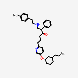 CC(=O)CCC1CCC[C@@H](Oc2ccc(CCCC(=O)C(CNCCc3ccc(C#N)cc3)c3ccccc3)nc2)C1